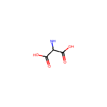 [NH]C(C(=O)O)C(=O)O